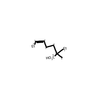 CC/C=C\CCC(C)(CC)C(=O)O